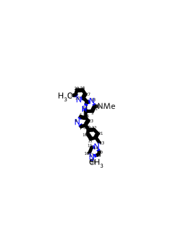 CNc1cc(-c2cncc(-c3ccc(CN4CCN(C)CC4)cc3)c2)nc(-c2cccc(C)n2)n1